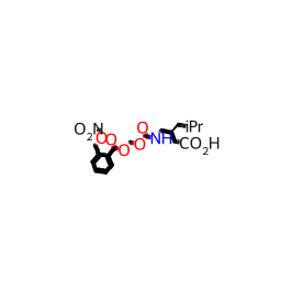 CC(C)C[C@H](CNC(=O)OCOC(=O)c1ccccc1CO[N+](=O)[O-])CC(=O)O